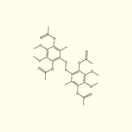 COc1c(OC(C)=O)c(C)c(SSc2c(C)c(OC(C)=O)c(OC)c(OC)c2OC(C)=O)c(OC(C)=O)c1OC